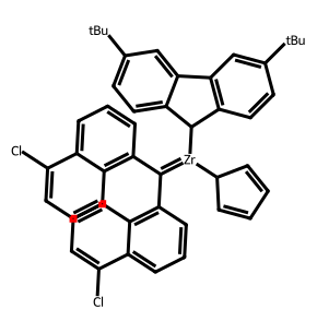 CC(C)(C)c1ccc2c(c1)-c1cc(C(C)(C)C)ccc1[CH]2[Zr](=[C](c1cccc2c(Cl)cccc12)c1cccc2c(Cl)cccc12)[CH]1C=CC=C1